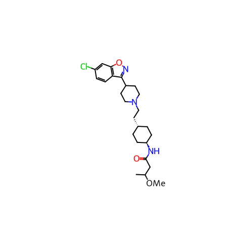 COC(C)CC(=O)N[C@H]1CC[C@H](CCN2CCC(c3noc4cc(Cl)ccc34)CC2)CC1